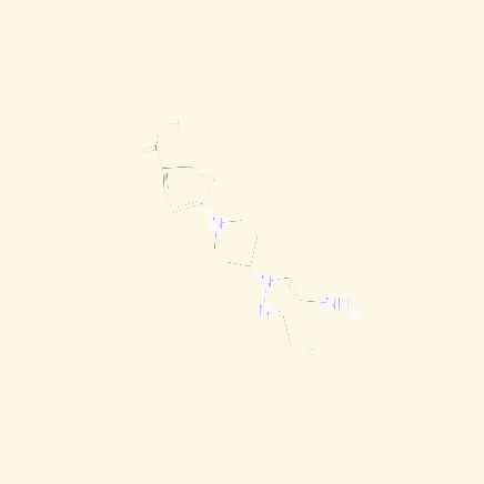 Nc1cn(C2CCN(c3ccc(C(=O)O)cc3)CC2)nc1C(F)F